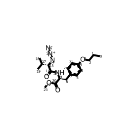 CCCOc1ccc(C[C@H](NC(=O)[C@@H](N=[N+]=[N-])C(C)C)C(=O)OC)cc1